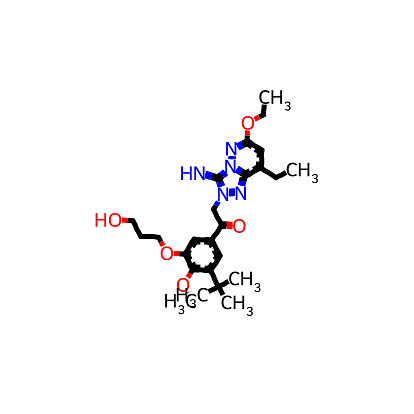 CCOc1cc(CC)c2nn(CC(=O)c3cc(OCCCO)c(OC)c(C(C)(C)C)c3)c(=N)n2n1